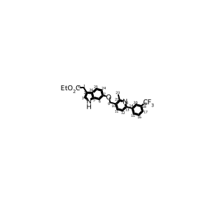 CCOC(=O)Cc1c[nH]c2cc(OCc3ccc(-c4cccc(C(F)(F)F)c4)nc3C)ccc12